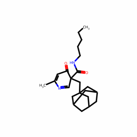 CCCCCNC(=O)C1(CC23CC4CC(CC(C4)C2)C3)C=NC(C)=CC1=O